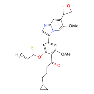 C=CC(F)Oc1cc(-c2cnc3cc(C4COC4)c(OC)cn23)cc(OC)c1C(=O)CCCC1CC1